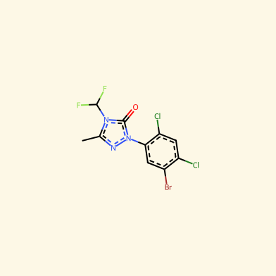 Cc1nn(-c2cc(Br)c(Cl)cc2Cl)c(=O)n1C(F)F